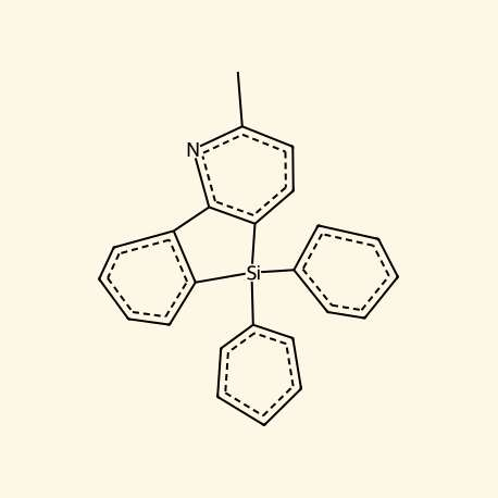 Cc1ccc2c(n1)-c1ccccc1[Si]2(c1ccccc1)c1ccccc1